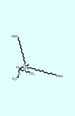 C=CCOCC(CC)(COCC=C)COP(=O)(OCCCCCCCCCCCCCCCCCCCCCCC)OCCCCCCCCCCCCCCCCCCCCCCC